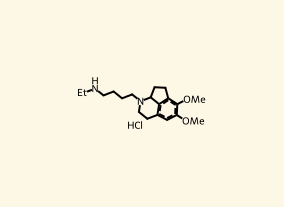 CCNCCCCN1CCc2cc(OC)c(OC)c3c2C1CC3.Cl